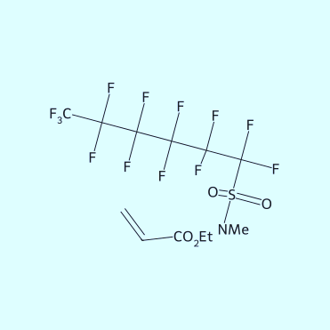 C=CC(=O)OCC.CNS(=O)(=O)C(F)(F)C(F)(F)C(F)(F)C(F)(F)C(F)(F)C(F)(F)F